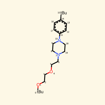 CC(C)(C)OCCOCCN1CCN(c2ccc(C(C)(C)C)cc2)CC1